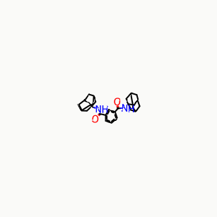 O=C(NC12CC3CC(CC(C3)C1)C2)c1cccc(C(=O)NC23CC4CC(CC(C4)C2)C3)c1